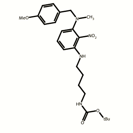 COc1ccc(CN(C)c2cccc(NCCCCNC(=O)OC(C)(C)C)c2[N+](=O)[O-])cc1